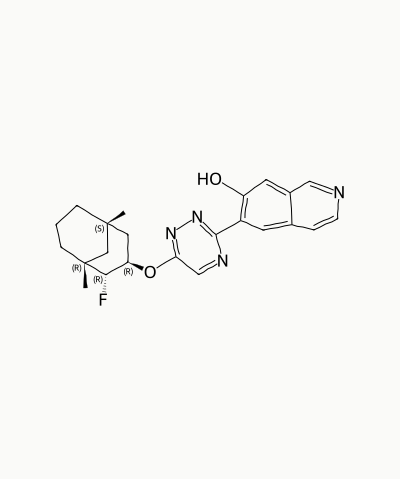 C[C@]12CCC[C@](C)(C1)[C@@H](F)[C@H](Oc1cnc(-c3cc4ccncc4cc3O)nn1)C2